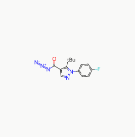 CC(C)(C)c1c(C(=O)N=[N+]=[N-])cnn1-c1ccc(F)cc1